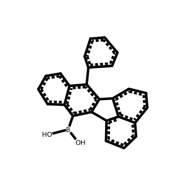 OB(O)c1c2c(c(-c3ccccc3)c3ccccc13)-c1cccc3cccc-2c13